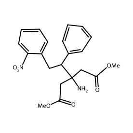 COC(=O)CC(N)(CC(=O)OC)C(Cc1ccccc1[N+](=O)[O-])c1ccccc1